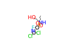 CCC[C@H](CCCO)NS(=O)(=O)c1ccc(-c2ncc(Cl)cc2Cl)c(F)c1